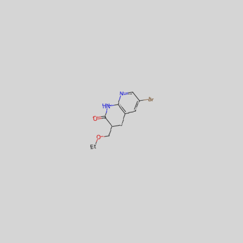 CCOCC1Cc2cc(Br)cnc2NC1=O